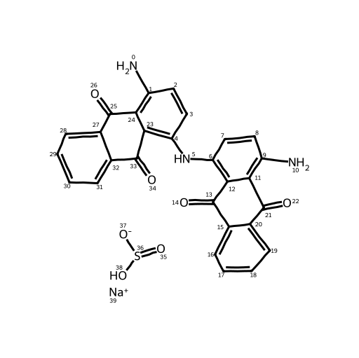 Nc1ccc(Nc2ccc(N)c3c2C(=O)c2ccccc2C3=O)c2c1C(=O)c1ccccc1C2=O.O=S([O-])O.[Na+]